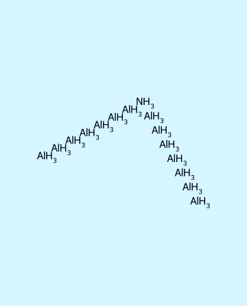 N.[AlH3].[AlH3].[AlH3].[AlH3].[AlH3].[AlH3].[AlH3].[AlH3].[AlH3].[AlH3].[AlH3].[AlH3].[AlH3].[AlH3]